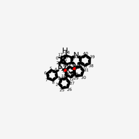 C[C@@]1(CP(c2ccccc2)c2ccccc2)[C@@H]2CC[C@@]1(CP(c1ccccc1)c1ccccc1)c1nc3ccccc3nc12